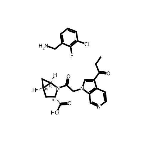 CCC(=O)c1cn(CC(=O)N2[C@@H]3C[C@@H]3C[C@H]2C(=O)O)c2cnccc12.NCc1cccc(Cl)c1F